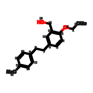 COCOc1ccc(CCc2ccc(OC)cc2)cc1CO